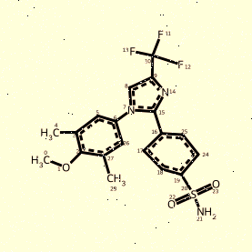 COc1c(C)cc(-n2cc(C(F)(F)F)nc2-c2ccc(S(N)(=O)=O)cc2)cc1C